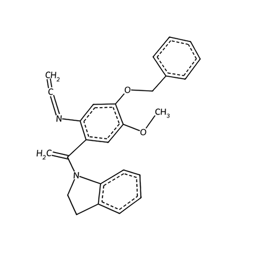 C=C=Nc1cc(OCc2ccccc2)c(OC)cc1C(=C)N1CCc2ccccc21